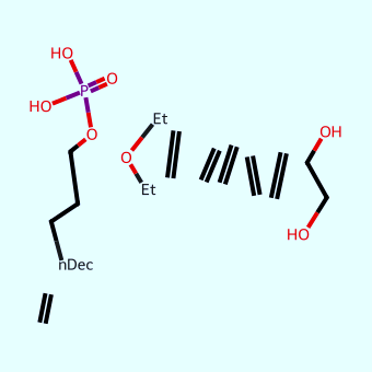 C=C.C=C.C=C.C=C.C=C.C=C.CCCCCCCCCCCCCOP(=O)(O)O.CCOCC.OCCO